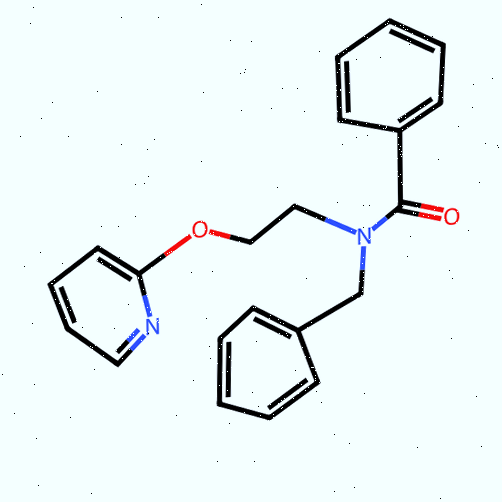 O=C(c1ccccc1)N(CCOc1ccccn1)Cc1ccccc1